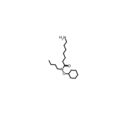 CCCCN(OC1CCCCC1)C(=O)CCCCCCN